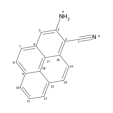 N#Cc1c(N)cc2ccc3cccc4ccc1c2c34